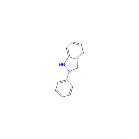 c1ccc(N2Cc3ccccc3N2)cc1